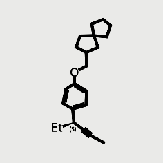 CC#C[C@@H](CC)c1ccc(OCC2CCC3(CCCC3)C2)cc1